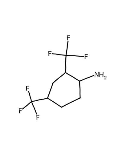 NC1CCC(C(F)(F)F)CC1C(F)(F)F